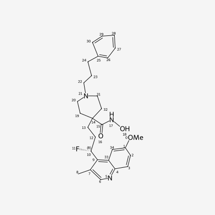 COc1ccc2ncc(C)c([C@H](F)CCC3(C(=O)NO)CCN(CCCc4ccccc4)CC3)c2c1